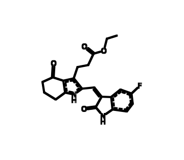 CCOC(=O)CCc1c(/C=C2\C(=O)Nc3ccc(F)cc32)[nH]c2c1C(=O)CCC2